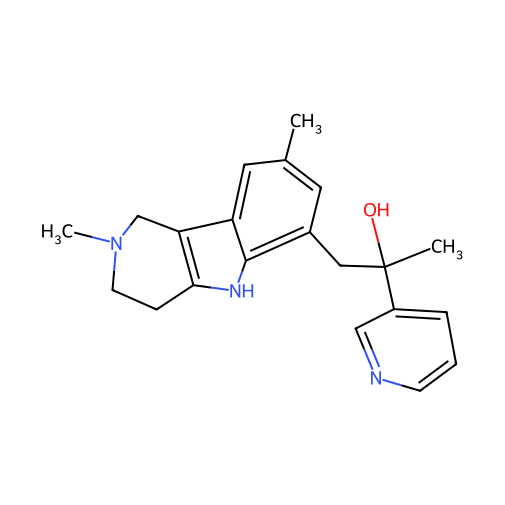 Cc1cc(CC(C)(O)c2cccnc2)c2[nH]c3c(c2c1)CN(C)CC3